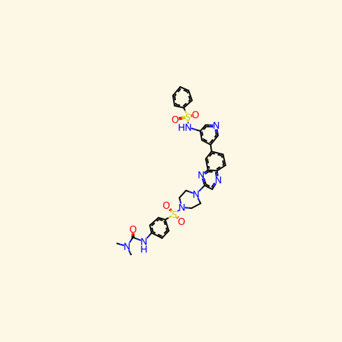 CN(C)C(=O)Nc1ccc(S(=O)(=O)N2CCN(c3cnc4ccc(-c5cncc(NS(=O)(=O)c6ccccc6)c5)cc4n3)CC2)cc1